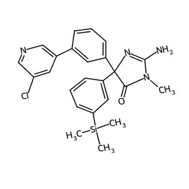 CN1C(=O)C(c2cccc(-c3cncc(Cl)c3)c2)(c2cccc([Si](C)(C)C)c2)N=C1N